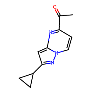 CC(=O)c1ccn2nc(C3CC3)cc2n1